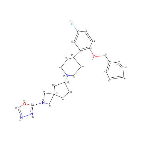 Fc1ccc(OCc2ccccc2)c(C2CCN([C@@H]3CCC4(C3)CN(c3nnco3)C4)CC2)c1